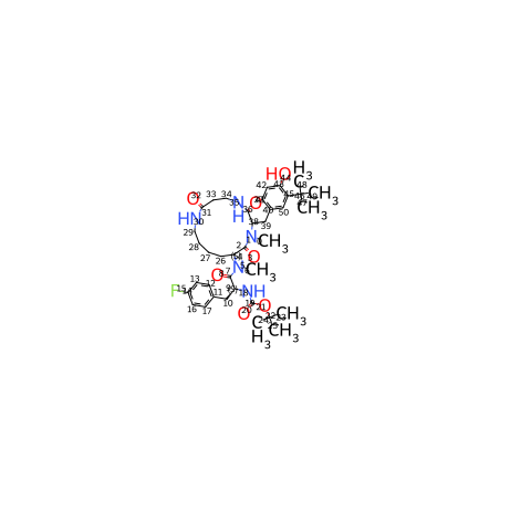 CN1C(=O)[C@@H](N(C)C(=O)[C@H](Cc2ccc(F)cc2)NC(=O)OC(C)(C)C)CCCCNC(=O)CCNC(=O)C1Cc1ccc(O)c(C(C)(C)C)c1